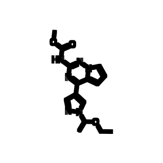 CCOC(C)n1cc(-c2nc(NC(=O)OC)nn3cccc23)cn1